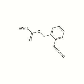 CCCCCC(=O)OCc1ccccc1N=C=O